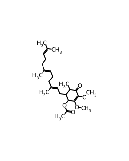 COC1=C(OC)C(OC(C)=O)C(C/C=C(\C)CC/C=C(\C)CCC=C(C)C)C(C)C1=O